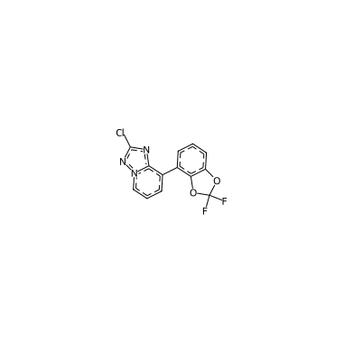 FC1(F)Oc2cccc(-c3cccn4nc(Cl)nc34)c2O1